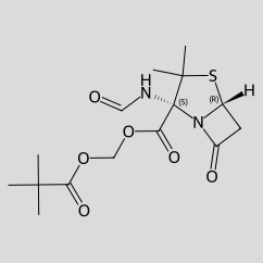 CC(C)(C)C(=O)OCOC(=O)[C@]1(NC=O)N2C(=O)C[C@H]2SC1(C)C